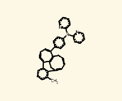 Cc1cccc2c1/C1=C/C=C\CC3=C(C1)C2=C=CC=C3c1ccc(N(c2ccccn2)c2ccccn2)cc1